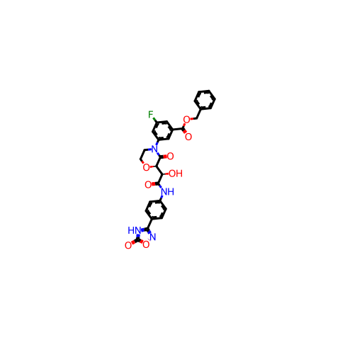 O=C(OCc1ccccc1)c1cc(F)cc(N2CCO[C@H]([C@@H](O)C(=O)Nc3ccc(-c4noc(=O)[nH]4)cc3)C2=O)c1